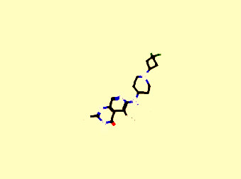 Cc1nc2cnc(N(C)C3CCN(C4CC(F)(F)C4)CC3)c(C#N)c2c(=O)[nH]1